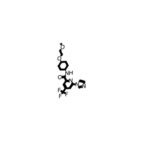 COCCO[C@H]1CC[C@H](NC(=O)c2cc(C(F)(F)F)cc(-n3ccnc3)n2)CC1